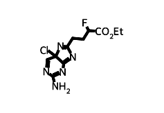 CCOC(=O)C(F)CCC1=NC2(Cl)C=NC(N)=NC2=N1